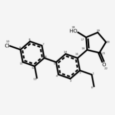 CCc1ccc(-c2ccc(Cl)cc2C)cc1C1=C(O)CCC1=O